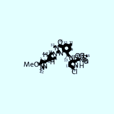 COc1cc(C2[C@H]3CN(c4nc5c([C@@H](C)Nc6ccc(Cl)nc6C(=O)NS(C)(=O)=O)cc(C)cc5c(=O)n4C)C[C@@H]23)nn1C